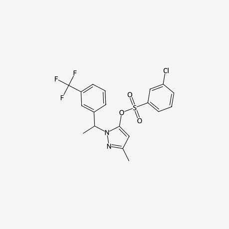 Cc1cc(OS(=O)(=O)c2cccc(Cl)c2)n(C(C)c2cccc(C(F)(F)F)c2)n1